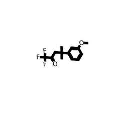 COc1cccc(C(C)(C)CC(=O)C(F)(F)F)c1